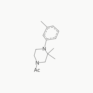 CC(=O)N1CCN(c2cccc(C)c2)C(C)(C)C1